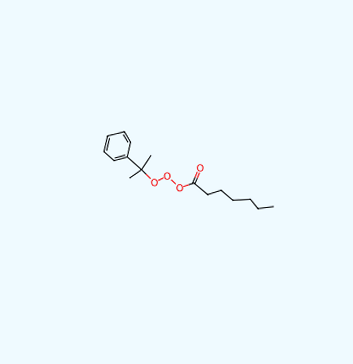 CCCCCCC(=O)OOOC(C)(C)c1ccccc1